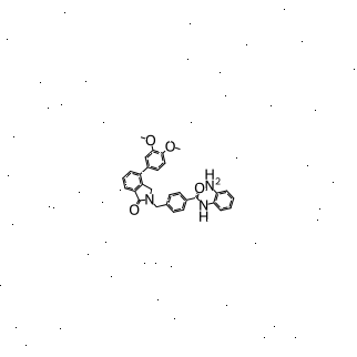 COc1ccc(-c2cccc3c2CN(Cc2ccc(C(=O)Nc4ccccc4N)cc2)C3=O)cc1OC